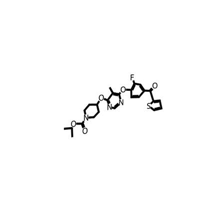 Cc1c(Oc2ccc(C(=O)c3cccs3)cc2F)ncnc1OC1CCN(C(=O)OC(C)C)CC1